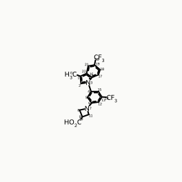 Cc1cn(-c2cc(N3CC(C(=O)O)C3)cc(C(F)(F)F)c2)c2ccc(C(F)(F)F)cc12